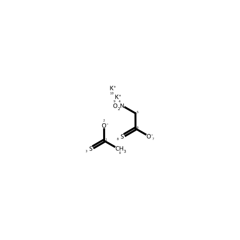 CC([O-])=S.O=[N+]([O-])CC([O-])=S.[K+].[K+]